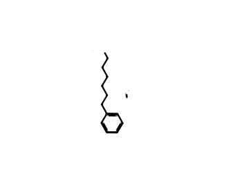 CCCCCCCCCCCCCCCCc1ccccc1.O=S(=O)(O)O